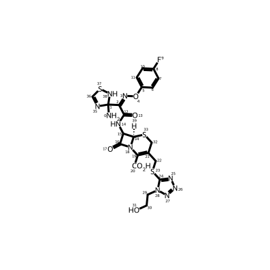 NC1(/C(=N/Oc2ccc(F)cc2)C(=O)NC2C(=O)N3C(C(=O)O)=C(CSc4nnnn4CCO)CS[C@H]23)N=CSN1